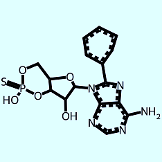 Nc1ncnc2c1nc(-c1ccccc1)n2C1OC2COP(O)(=S)OC2C1O